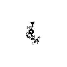 O=C1OC[C@@H](CF)N1c1cn2c(n1)-c1ccc(NCC3CC3)cc1OCC2